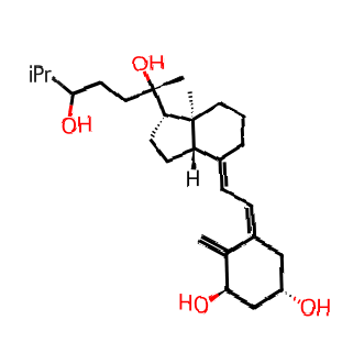 C=C1/C(=C\C=C2/CCC[C@@]3(C)[C@H]2CC[C@@H]3[C@@](C)(O)CCC(O)C(C)C)C[C@H](O)C[C@H]1O